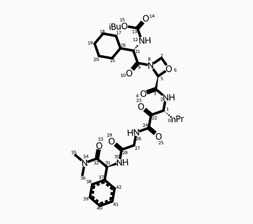 CCC[C@@H](NC(=O)[C@@H]1OCN1C(=O)[C@@H](NC(=O)OCC(C)C)C1CCCCC1)C(=O)C(=O)NCC(=O)N[C@H](C(=O)N(C)C)c1ccccc1